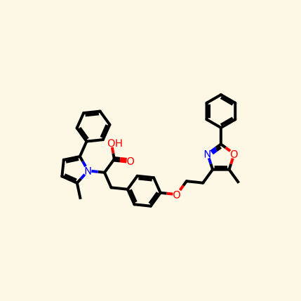 Cc1oc(-c2ccccc2)nc1CCOc1ccc(CC(C(=O)O)n2c(C)ccc2-c2ccccc2)cc1